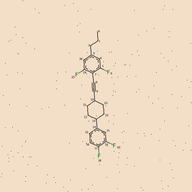 CCCc1cc(F)c(C#CC2CCC(c3ccc(F)c(F)c3)CC2)c(F)c1